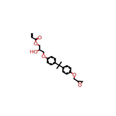 C=CC(=O)OCC(O)COc1ccc(C(C)(C)c2ccc(OCC3CO3)cc2)cc1